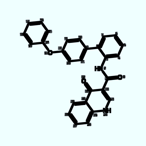 O=C(Nc1ccccc1-c1ccc(Oc2ccccc2)cc1)c1c[nH]c2ccccc2c1=O